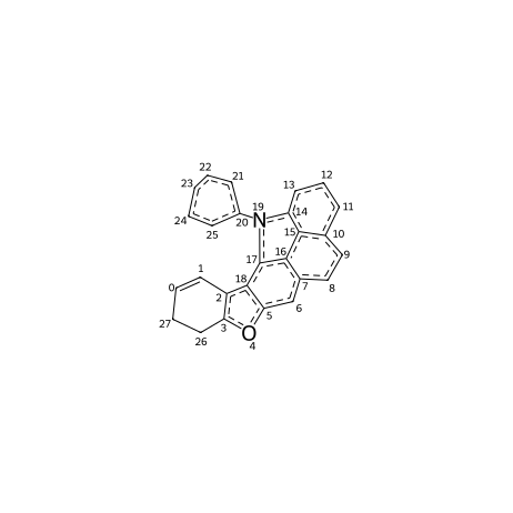 C1=Cc2c(oc3cc4ccc5cccc6c5c4c(c23)n6-c2ccccc2)CC1